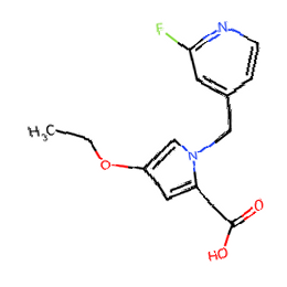 CCOc1cc(C(=O)O)n(Cc2ccnc(F)c2)c1